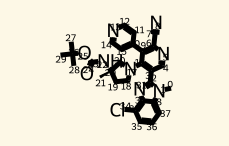 Cn1c(-c2cnc(C#N)c(-c3ccncc3)c2N2CC[C@](C)(NC(=O)OC(C)(C)C)C2)nc2c(Cl)cccc21